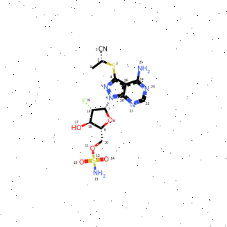 C[C@H](C#N)Sc1nn([C@@H]2O[C@H](COS(N)(=O)=O)[C@@H](O)[C@@H]2F)c2ncnc(N)c12